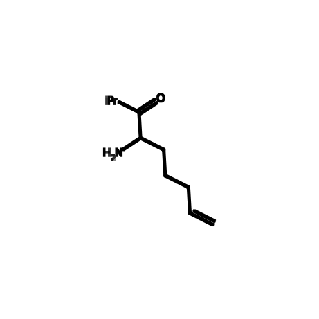 C=CCCCC(N)C(=O)C(C)C